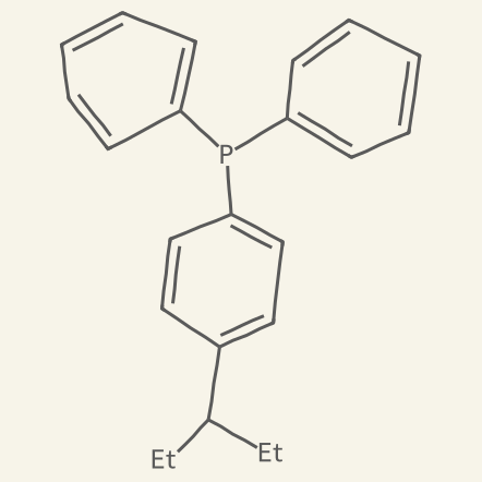 CCC(CC)c1ccc(P(c2ccccc2)c2ccccc2)cc1